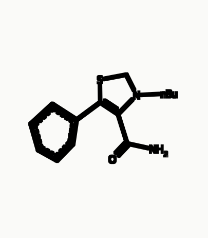 CCCCN1CSC(c2ccccc2)=C1C(N)=O